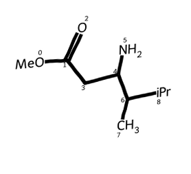 COC(=O)CC(N)C(C)C(C)C